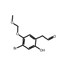 COCOc1cc(CC=O)c(O)cc1Br